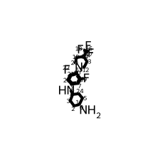 NC1CCC(Nc2cc(F)c(N3CCC(C(F)(F)F)CC3)c(F)c2)CC1